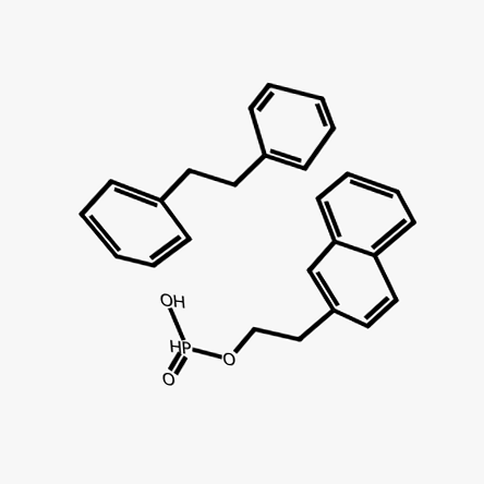 O=[PH](O)OCCc1ccc2ccccc2c1.c1ccc(CCc2ccccc2)cc1